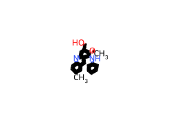 COc1c(CO)cc2nc3ccc(C)cc3cc2c1Nc1ccccc1